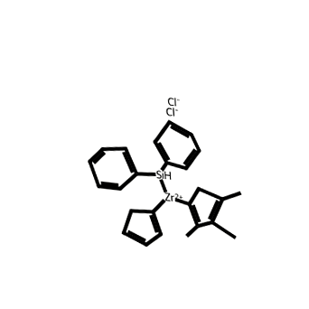 CC1=C(C)C(C)=[C]([Zr+2]([C]2=CC=CC2)[SiH](c2ccccc2)c2ccccc2)C1.[Cl-].[Cl-]